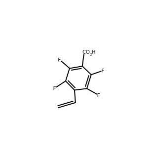 C=Cc1c(F)c(F)c(C(=O)O)c(F)c1F